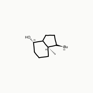 CC[C@H](C)C1CCC2[C@@H](O)CCC[C@]12C